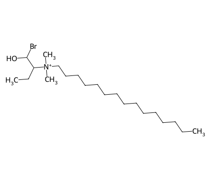 CCCCCCCCCCCCCCC[N+](C)(C)C(CC)C(O)Br